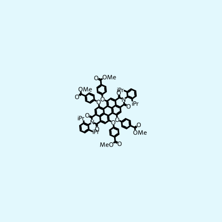 COC(=O)c1ccc(Oc2cc3c4c(cc(Oc5ccc(C(=O)OC)cc5)c5c6c(Oc7ccc(C(=O)OC)cc7)cc7c8c(cc(Oc9ccc(C(=O)OC)cc9)c(c2c45)c86)C(=O)N(c2c(C(C)C)cccc2C(C)C)C7=O)C(=O)N(c2c(C(C)C)cccc2C(C)C)C3=O)cc1